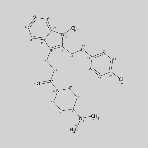 CN(C)C1CCN(C(=O)CCc2c(COc3ccc(Cl)cc3)n(C)c3ccccc23)CC1